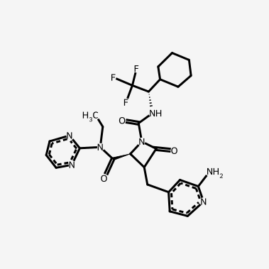 CCN(C(=O)[C@@H]1C(Cc2ccnc(N)c2)C(=O)N1C(=O)N[C@@H](C1CCCCC1)C(F)(F)F)c1ncccn1